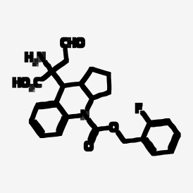 NC(CC=O)(C(=O)O)C1c2ccccc2N(C(=O)OCc2ccccc2F)C2CCCC21